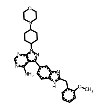 COc1ccccc1Cc1nc2cc(-c3nn(C4CCC(N5CCOCC5)CC4)c4ncnc(N)c34)ccc2[nH]1